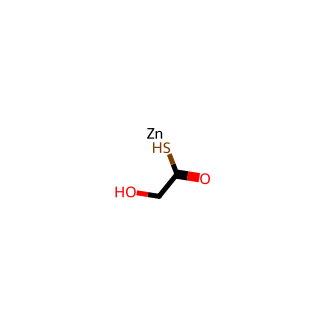 O=C(S)CO.[Zn]